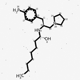 CCCCCCC[C@@H](O)N[C@@H](Cc1ccc(P)cc1)CN1CCCC1